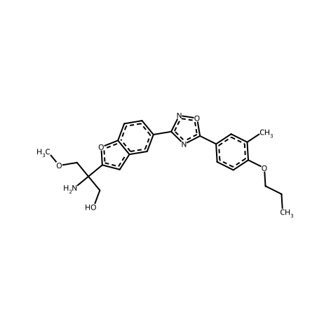 CCCOc1ccc(-c2nc(-c3ccc4oc(C(N)(CO)COC)cc4c3)no2)cc1C